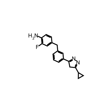 Nc1ccc(Cc2cccc(C3=NN=C(C4CC4)C3)c2)cc1F